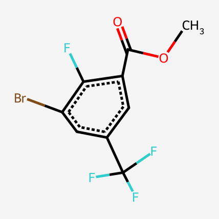 COC(=O)c1cc(C(F)(F)F)cc(Br)c1F